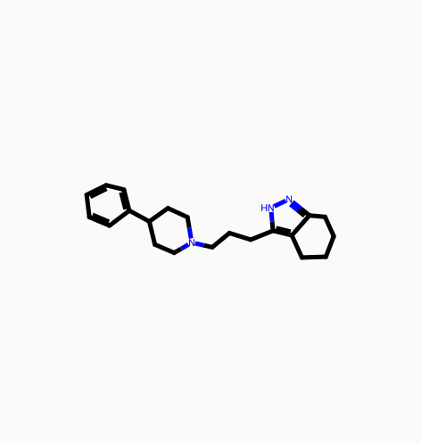 c1ccc(C2CCN(CCCc3[nH]nc4c3CCCC4)CC2)cc1